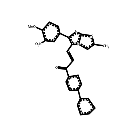 COc1ccc(-c2nc3sc(C)cn3c2/C=C/C(=O)c2ccc(-c3ccccc3)cc2)cc1[N+](=O)[O-]